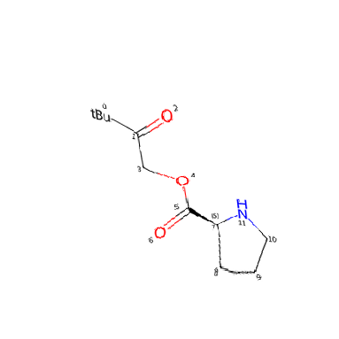 CC(C)(C)C(=O)COC(=O)[C@@H]1CCCN1